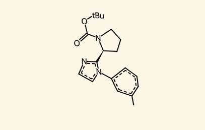 Cc1cccc(-n2ccnc2[C@@H]2CCCN2C(=O)OC(C)(C)C)c1